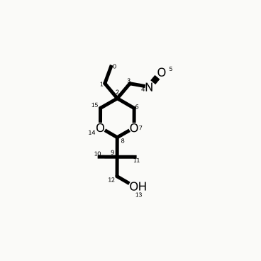 CCC1(CN=O)COC(C(C)(C)CO)OC1